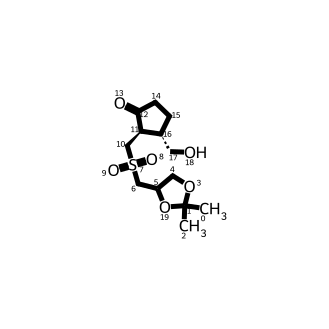 CC1(C)OCC(CS(=O)(=O)C[C@H]2C(=O)CC[C@@H]2CO)O1